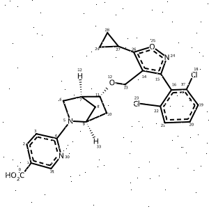 O=C(O)c1ccc(N2C[C@@H]3C[C@H]2C[C@H]3OCc2c(-c3c(Cl)cccc3Cl)noc2C2CC2)nc1